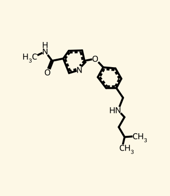 CNC(=O)c1ccc(Oc2ccc(CNCCC(C)C)cc2)nc1